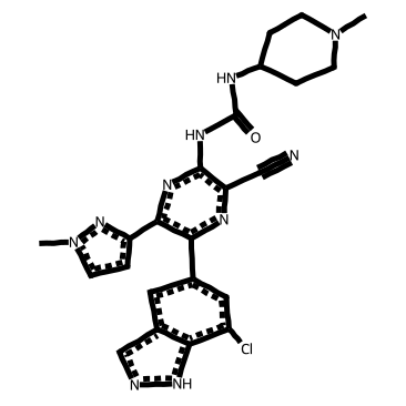 CN1CCC(NC(=O)Nc2nc(-c3ccn(C)n3)c(-c3cc(Cl)c4[nH]ncc4c3)nc2C#N)CC1